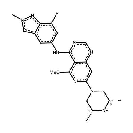 COc1nc(N2C[C@@H](C)N[C@@H](C)C2)cc2ncnc(Nc3cc(F)c4nn(C)cc4c3)c12